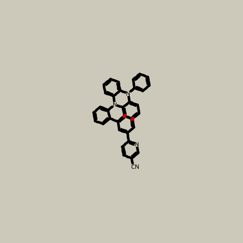 N#Cc1ccc(-c2cccc(-c3ccccc3N3c4ccccc4N(c4ccccc4)c4ccccc43)c2)nc1